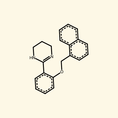 c1ccc(C2=NCCCN2)c(OCc2cccc3ccccc23)c1